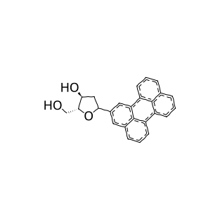 OC[C@H]1OC(c2cc3cccc4c5cccc6cccc(c(c2)c34)c65)C[C@@H]1O